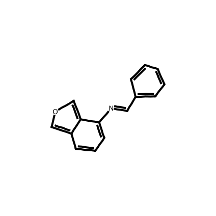 C(=Nc1cccc2cocc12)c1ccccc1